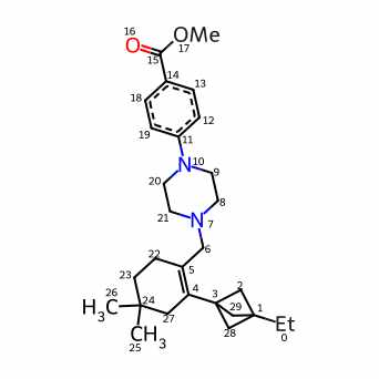 CCC12CC(C3=C(CN4CCN(c5ccc(C(=O)OC)cc5)CC4)CCC(C)(C)C3)(C1)C2